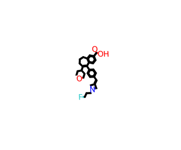 O=C(O)c1ccc2c(c1)CCCC(C1CCOCC1)=C2c1ccc(C=C2CN(CCCF)C2)cc1